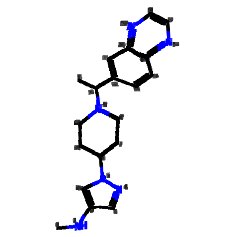 CNc1cnn(C2CCN(C(C)c3ccc4nccnc4c3)CC2)c1